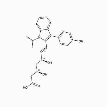 CC(C)n1c(/C=C/[C@@H](O)C[C@@H](O)CC(=O)O)c(-c2ccc(O)cc2)c2ccccc21